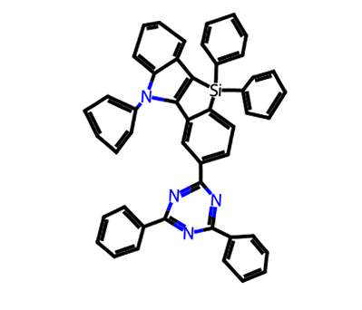 c1ccc(-c2nc(-c3ccccc3)nc(-c3ccc4c(c3)-c3c(c5ccccc5n3-c3ccccc3)[Si]4(c3ccccc3)c3ccccc3)n2)cc1